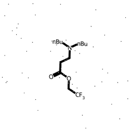 CCCCN(CCCC)CCC(=O)OCC(F)(F)F